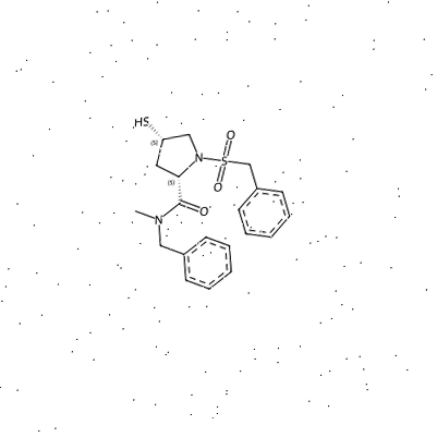 CN(Cc1ccccc1)C(=O)[C@@H]1C[C@H](S)CN1S(=O)(=O)Cc1ccccc1